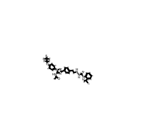 CC(=O)Nc1nc(-c2ccc(CCNNC(=S)Nc3ccccc3C(C)C)cc2)nn1-c1ccc(OC(F)(F)C(F)(F)F)cc1